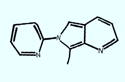 Cc1c2ncccc2cn1-c1ccccn1